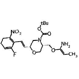 CC=C(N)OC[C@@H]1CO[C@H](/C=C/C2=C([N+](=O)[O-])CCC=C2F)CN1C(=O)OC(C)(C)C